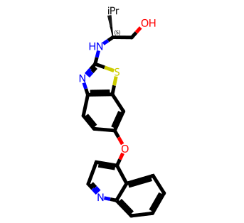 CC(C)[C@@H](CO)Nc1nc2ccc(Oc3ccnc4ccccc34)cc2s1